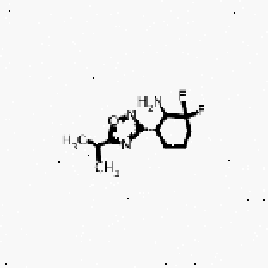 CC(C)c1nc([C@H]2CCCC(F)(F)[C@@H]2N)no1